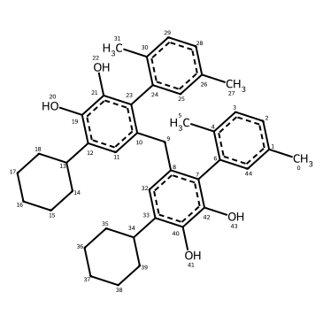 Cc1ccc(C)c(-c2c(Cc3cc(C4CCCCC4)c(O)c(O)c3-c3cc(C)ccc3C)cc(C3CCCCC3)c(O)c2O)c1